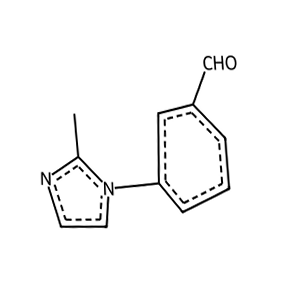 Cc1nccn1-c1cccc(C=O)c1